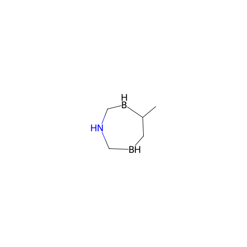 CC1BCNCBC1